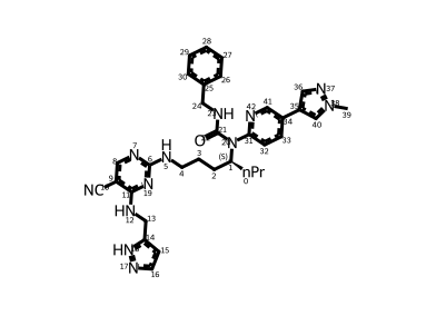 CCC[C@@H](CCCNc1ncc(C#N)c(NCc2ccn[nH]2)n1)N(C(=O)NCc1ccccc1)c1ccc(-c2cnn(C)c2)cn1